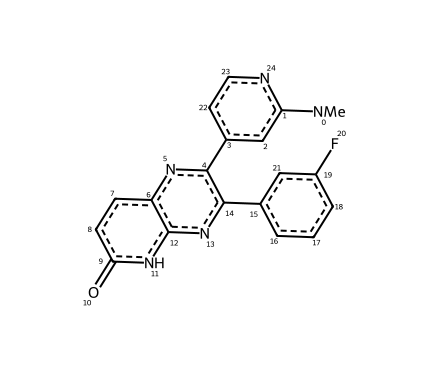 CNc1cc(-c2nc3ccc(=O)[nH]c3nc2-c2cccc(F)c2)ccn1